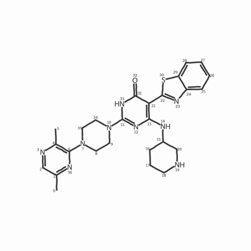 Cc1cnc(C)c(N2CCN(c3nc(NC4CCCNC4)c(-c4nc5ccccc5s4)c(=O)[nH]3)CC2)n1